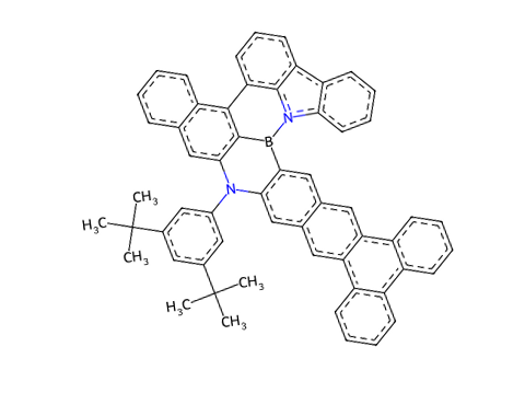 CC(C)(C)c1cc(N2c3cc4cc5c6ccccc6c6ccccc6c5cc4cc3B3c4c2cc2ccccc2c4-c2cccc4c5ccccc5n3c24)cc(C(C)(C)C)c1